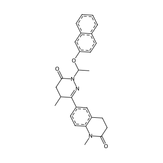 CC1CC(=O)N(C(C)Oc2ccc3ccccc3c2)N=C1c1ccc2c(c1)CCC(=O)N2C